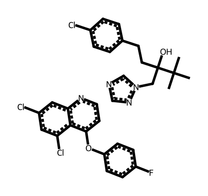 CC(C)(C)C(O)(CCc1ccc(Cl)cc1)Cn1cncn1.Fc1ccc(Oc2ccnc3cc(Cl)cc(Cl)c23)cc1